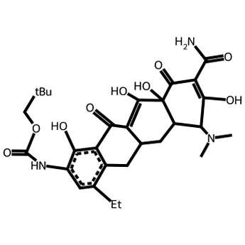 CCc1cc(NC(=O)OCC(C)(C)C)c(O)c2c1CC1CC3C(N(C)C)C(O)=C(C(N)=O)C(=O)C3(O)C(O)=C1C2=O